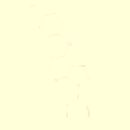 CCCCc1ccc(Nc2ncnc3c2cnn3-c2cccc(Cl)c2)cc1